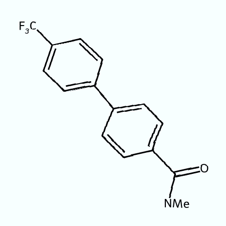 CNC(=O)c1ccc(-c2ccc(C(F)(F)F)cc2)cc1